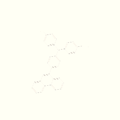 Cc1ccc(N(c2ccc(C)cc2)c2ccc(-c3cc4ccccc4c4ccccc34)cc2)cc1